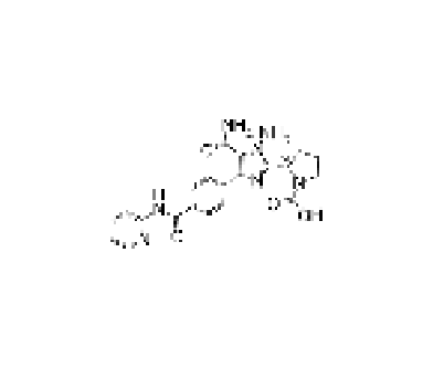 NC(=O)c1c(-c2ccc(C(=O)Nc3ccccn3)cc2)nc([C@@H]2CCCN2C(=O)O)n1N